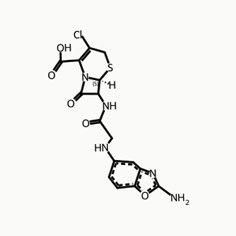 Nc1nc2cc(NCC(=O)NC3C(=O)N4C(C(=O)O)=C(Cl)CS[C@@H]34)ccc2o1